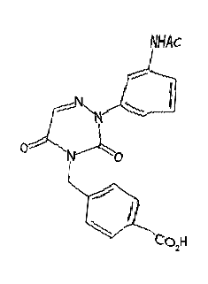 CC(=O)Nc1cccc(-n2ncc(=O)n(Cc3ccc(C(=O)O)cc3)c2=O)c1